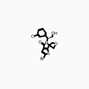 O=C1c2cc(Br)sc2C2(COC2)N1[C@H](CO)c1cccc(Cl)c1